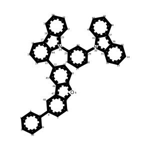 c1ccc(-c2ccc3oc4ccc(-c5cccc6c7ccccc7n(-c7cccc(-n8c9ccccc9c9ccccc98)c7)c56)cc4c3c2)cc1